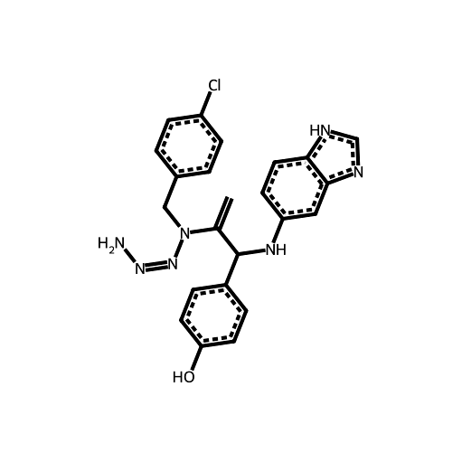 C=C(C(Nc1ccc2[nH]cnc2c1)c1ccc(O)cc1)N(Cc1ccc(Cl)cc1)/N=N\N